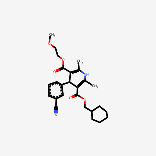 COCCOC(=O)C1=C(C)NC(C)=C(C(=O)OCC2CCCCC2)C1c1cccc(C#N)c1